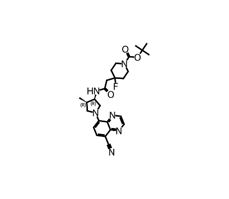 C[C@@H]1CN(c2ccc(C#N)c3nccnc23)C[C@@H]1NC(=O)CC1(F)CCN(C(=O)OC(C)(C)C)CC1